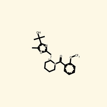 Cc1oc(C[C@H]2CCCCN2C(=O)c2ccccc2OC(F)(F)F)nc1C(C)(C)O